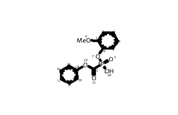 COc1ccccc1OP(=O)(O)C(=O)Oc1ccccc1